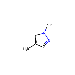 Bc1cnn(CCC)c1